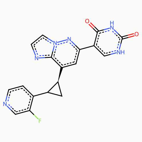 O=c1[nH]cc(-c2cc([C@H]3CC3c3ccncc3F)c3nccn3n2)c(=O)[nH]1